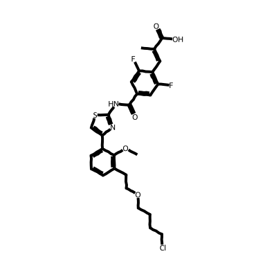 COc1c(CCOCCCCCl)cccc1-c1csc(NC(=O)c2cc(F)c(/C=C(\C)C(=O)O)c(F)c2)n1